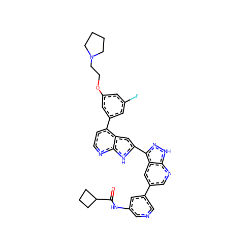 O=C(Nc1cncc(-c2cnc3[nH]nc(-c4cc5c(-c6cc(F)cc(OCCN7CCCC7)c6)ccnc5[nH]4)c3c2)c1)C1CCC1